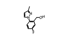 Cc1ccn(-c2ccc(F)cc2CO)n1